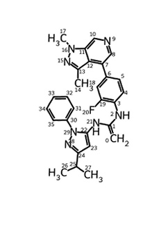 C=C(Nc1ccc(-c2cncc3c2c(C)nn3C)cc1F)Nc1cc(C(C)C)nn1-c1ccccc1